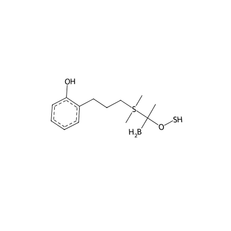 BC(C)(OS)S(C)(C)CCCc1ccccc1O